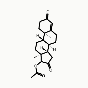 CC(=O)OC1C(=O)C[C@H]2[C@@H]3CCC4=CC(=O)CC[C@]4(C)[C@H]3CC[C@]12C